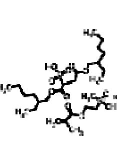 C=C(C)C(=O)OCC[N+](C)(C)C.CCCCC(CC)COC(=O)CC(C(=O)OCC(CC)CCCC)S(=O)(=O)O